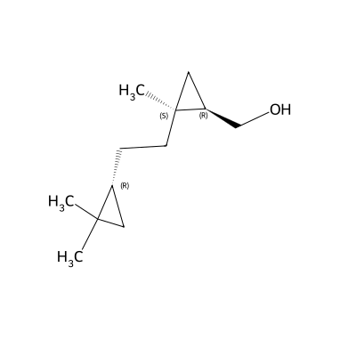 CC1(C)C[C@H]1CC[C@@]1(C)C[C@H]1CO